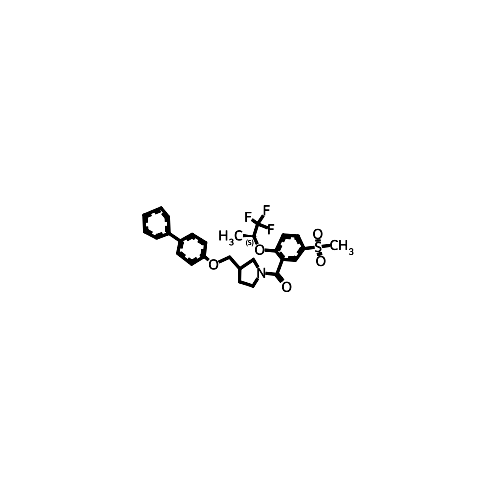 C[C@H](Oc1ccc(S(C)(=O)=O)cc1C(=O)N1CCC(COc2ccc(-c3ccccc3)cc2)C1)C(F)(F)F